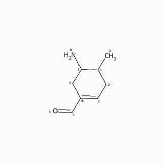 CC1CC=C(C=O)CC1N